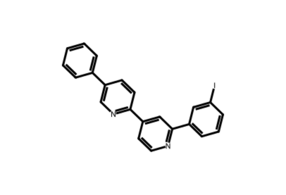 Ic1cccc(-c2cc(-c3ccc(-c4ccccc4)cn3)ccn2)c1